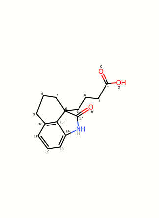 O=C(O)CCCC12CCCc3cccc(c31)NC2=O